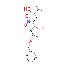 CC(C)[C@@H](CO)CC([C@@H](O)C[C@H](COCc1ccccc1)C(C)C)[N+](=O)[O-]